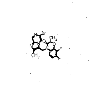 Cc1nc2cnc(Br)cn2c1CN1C(=O)[C@@H](C)Oc2c1ccc(F)c2F